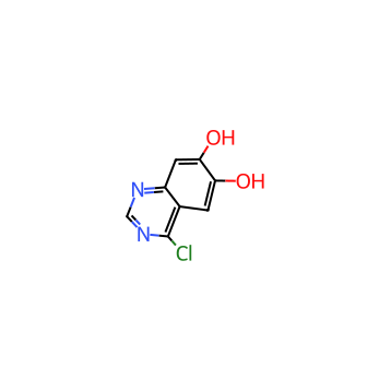 Oc1cc2ncnc(Cl)c2cc1O